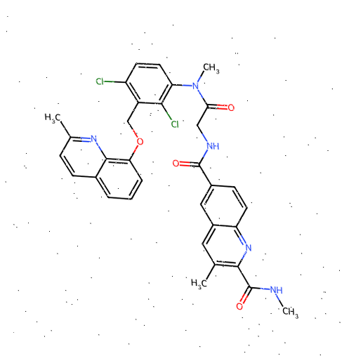 CNC(=O)c1nc2ccc(C(=O)NCC(=O)N(C)c3ccc(Cl)c(COc4cccc5ccc(C)nc45)c3Cl)cc2cc1C